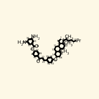 CC(C)CCC[C@@H](C)[C@H]1CCC2C3CCC4CC(Oc5ccc(C=CC(=O)c6ccc(OC(=O)c7cc(N)cc(N)c7)cc6)cc5)CC[C@]4(C)C3CC[C@@]21C